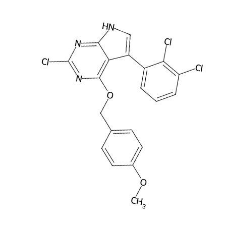 COc1ccc(COc2nc(Cl)nc3[nH]cc(-c4cccc(Cl)c4Cl)c23)cc1